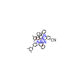 Cc1cc(C)cc(-c2ccc3c(c2)c2ccccc2n3-c2ccc(C#N)cc2-c2nc(-c3ccccc3)nc(-c3cc(C#N)ccc3-n3c4ccccc4c4cc(-c5cc(C)cc(C)c5)ccc43)n2)c1